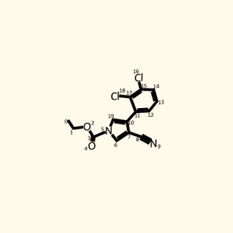 CCOC(=O)n1cc(C#N)c(-c2cccc(Cl)c2Cl)c1